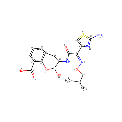 CC(C)CON=C(C(=O)NC1Cc2cccc(C(=O)O)c2OB1O)c1csc(N)n1